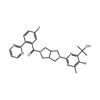 Cc1nc(N2CC3CN(C(=O)c4cc(F)ccc4-c4ncccn4)CC3C2)nc(C(C)(C)O)c1F